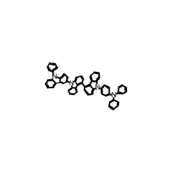 c1ccc(N(c2ccccc2)c2ccc(-n3c4ccccc4c4c(-c5cccc6c5c5ccccc5n6-c5ccc6c(c5)c5ccccc5n6-c5ccccc5)cccc43)cc2)cc1